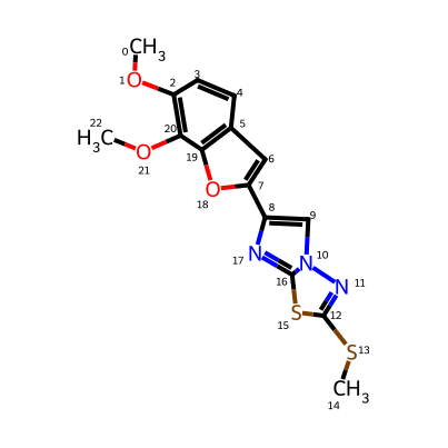 COc1ccc2cc(-c3cn4nc(SC)sc4n3)oc2c1OC